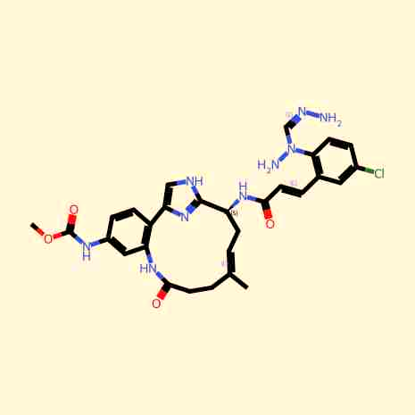 COC(=O)Nc1ccc2c(c1)NC(=O)CC/C(C)=C/C[C@H](NC(=O)/C=C/c1cc(Cl)ccc1N(N)/C=N\N)c1nc-2c[nH]1